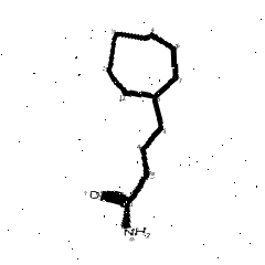 NC(=O)CCCC1CCCCCC1